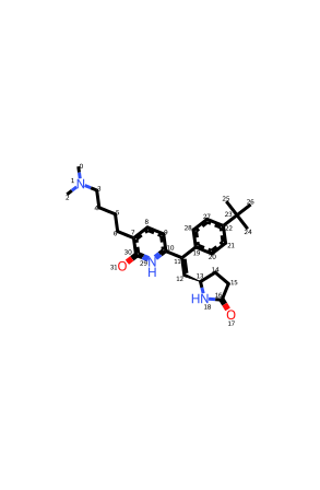 CN(C)CCCCc1ccc(/C(=C/[C@H]2CCC(=O)N2)c2ccc(C(C)(C)C)cc2)[nH]c1=O